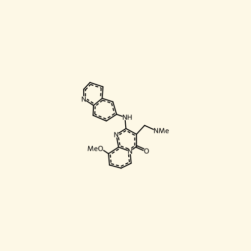 CNCc1c(Nc2ccc3ncccc3c2)nc2c(OC)cccn2c1=O